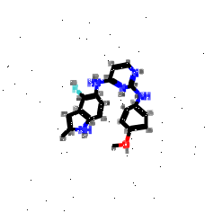 COc1ccc(Nc2nccc(Nc3ccc4[nH]c(C)cc4c3F)n2)cc1